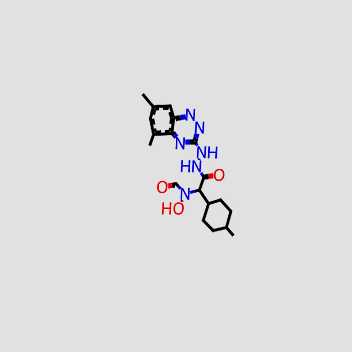 Cc1cc(C)c2nc(NNC(=O)C(C3CCC(C)CC3)N(O)C=O)nnc2c1